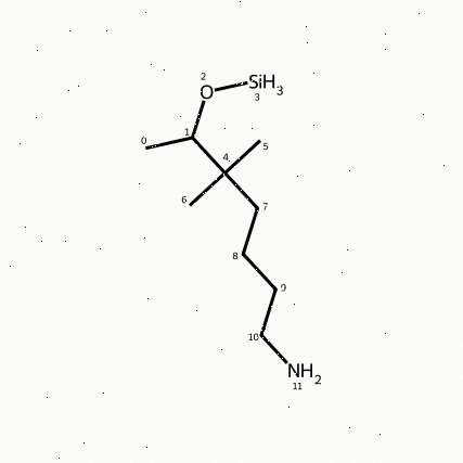 CC(O[SiH3])C(C)(C)CCCCN